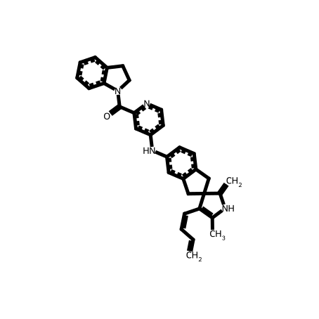 C=C/C=C\C1=C(C)NC(=C)C12Cc1ccc(Nc3ccnc(C(=O)N4CCc5ccccc54)c3)cc1C2